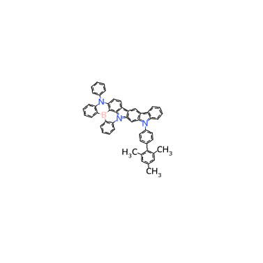 Cc1cc(C)c(-c2ccc(-n3c4ccccc4c4cc5c6ccc7c8c6n(c5cc43)-c3ccccc3B8c3ccccc3N7c3ccccc3)cc2)c(C)c1